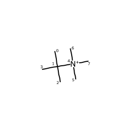 CC(C)(C)[N+](C)(C)C